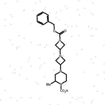 CC(C)(C)C1CN(C2CN(C3CN(C(=O)OCc4ccccc4)C3)C2)CCN1C(=O)O